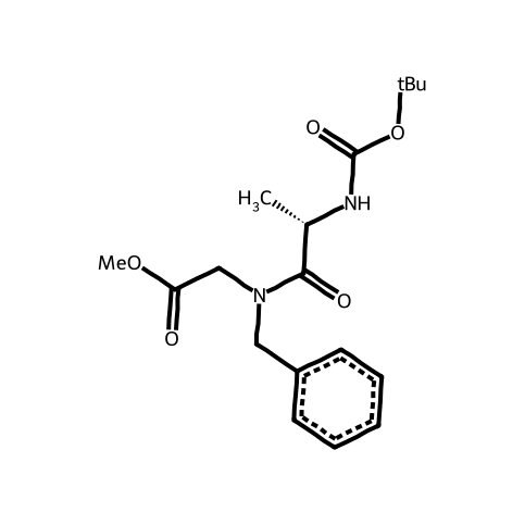 COC(=O)CN(Cc1ccccc1)C(=O)[C@H](C)NC(=O)OC(C)(C)C